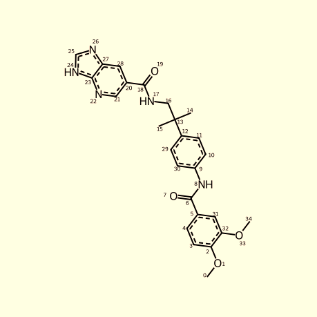 COc1ccc(C(=O)Nc2ccc(C(C)(C)CNC(=O)c3cnc4[nH]cnc4c3)cc2)cc1OC